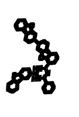 c1ccc(C2=NC(c3cccc4c3oc3cc(-c5ccc6c(c5)oc5ccccc56)ccc34)NC(c3ccc4sc5ccccc5c4c3)N2)cc1